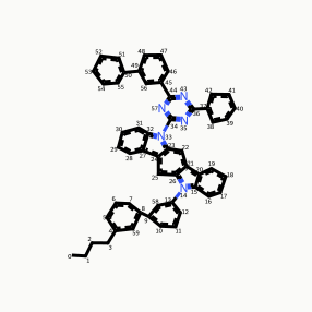 CCCCc1cccc(-c2cccc(-n3c4ccccc4c4cc5c(cc43)c3ccccc3n5-c3nc(-c4ccccc4)nc(-c4cccc(-c5ccccc5)c4)n3)c2)c1